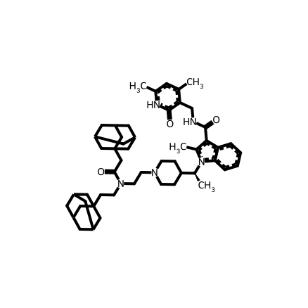 Cc1cc(C)c(CNC(=O)c2c(C)n([C@@H](C)C3CCN(CCN(CCC45CC6CC(CC(C6)C4)C5)C(=O)CC45CC6CC(CC(C6)C4)C5)CC3)c3ccccc23)c(=O)[nH]1